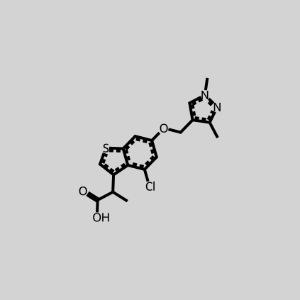 Cc1nn(C)cc1COc1cc(Cl)c2c(C(C)C(=O)O)csc2c1